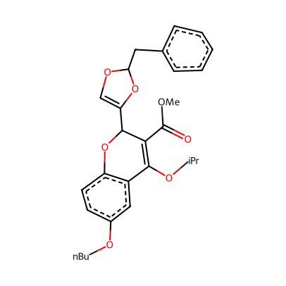 CCCCOc1ccc2c(c1)C(OC(C)C)=C(C(=O)OC)C(C1=COC(Cc3ccccc3)O1)O2